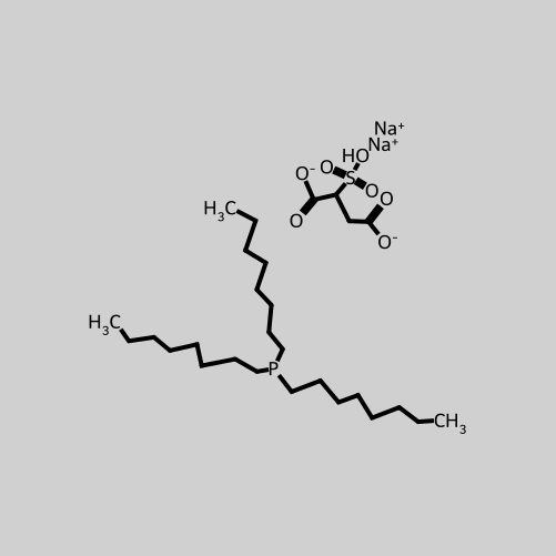 CCCCCCCCP(CCCCCCCC)CCCCCCCC.O=C([O-])CC(C(=O)[O-])S(=O)(=O)O.[Na+].[Na+]